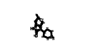 Cc1ccc2c(c1)[nH]c(=O)n2C1CCN(C)CC1